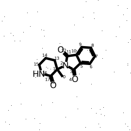 CC1(N2C(=O)c3ccccc3C2=O)CCCNC1=O